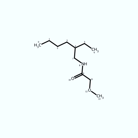 CCCCC(CC)CNC(=O)COC